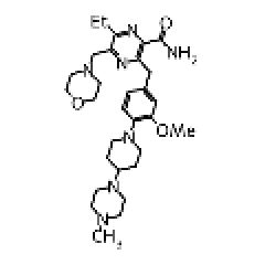 CCc1nc(C(N)=O)c(Cc2ccc(N3CCC(N4CCN(C)CC4)CC3)c(OC)c2)nc1CN1CCOCC1